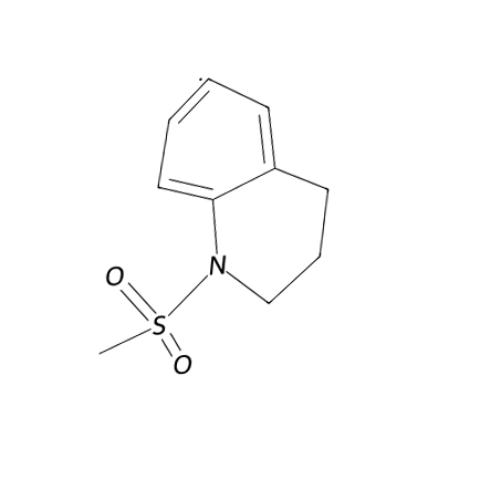 CS(=O)(=O)N1CCCc2c[c]ccc21